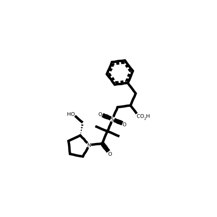 CC(C)(C(=O)N1CCC[C@@H]1CO)S(=O)(=O)CC(Cc1ccccc1)C(=O)O